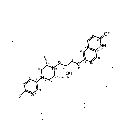 Cc1ccc(N2C[C@@H](C)N(C[C@@H](O)COc3ccc4[nH]c(=O)ccc4c3)[C@@H](C)C2)cc1